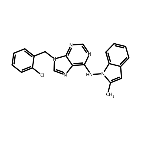 Cc1cc2ccccc2n1Nc1ncnc2c1ncn2Cc1ccccc1Cl